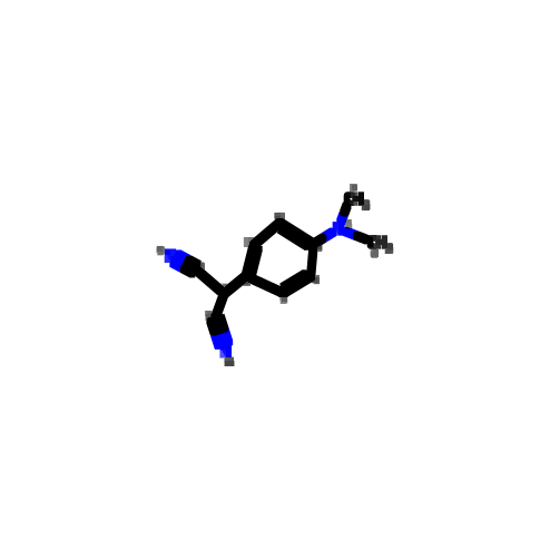 CN(C)c1ccc(C(C#N)C#N)cc1